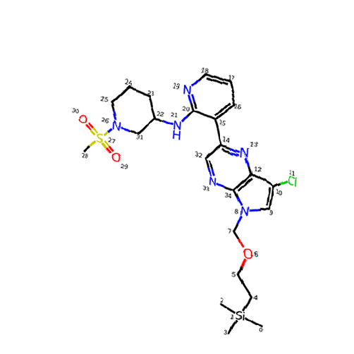 C[Si](C)(C)CCOCn1cc(Cl)c2nc(-c3cccnc3NC3CCCN(S(C)(=O)=O)C3)cnc21